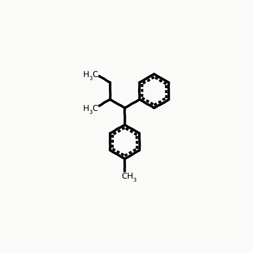 CCC(C)C(c1ccccc1)c1ccc(C)cc1